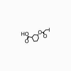 O=C(CI)OC1CCCC(C(=O)O)C1